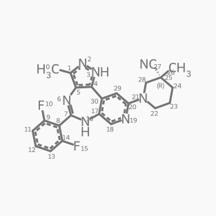 Cc1n[nH]c2c1N=C(c1c(F)cccc1F)Nc1cnc(N3CCC[C@@](C)(C#N)C3)cc1-2